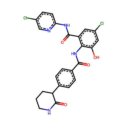 O=C(Nc1c(O)cc(Cl)cc1C(=O)Nc1ccc(Cl)cn1)c1ccc(C2CCCNC2=O)cc1